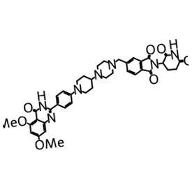 COc1cc(OC)c2c(=O)[nH]c(-c3ccc(N4CCC(N5CCN(Cc6ccc7c(c6)C(=O)N(C6CCC(=O)NC6=O)C7=O)CC5)CC4)cc3)nc2c1